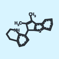 CC1=C(C)C(c2cccc3c2NCCC3)c2sc3ccccc3c21